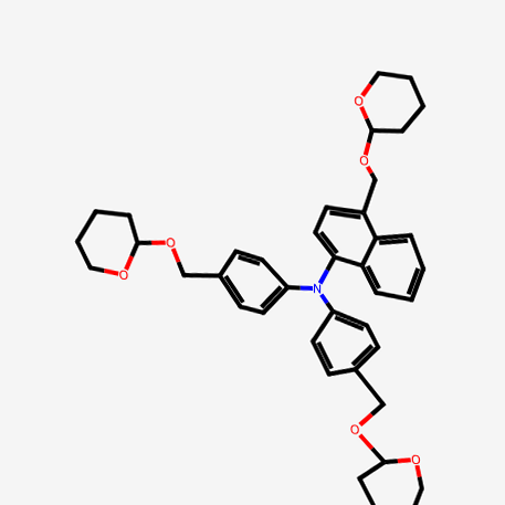 c1ccc2c(N(c3ccc(COC4CCCCO4)cc3)c3ccc(COC4CCCCO4)cc3)ccc(COC3CCCCO3)c2c1